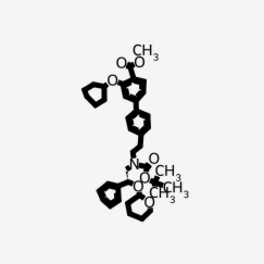 COC(=O)c1ccc(-c2ccc(CCN(C[C@H](OC3CCCCO3)c3ccccc3)C(=O)OC(C)(C)C)cc2)cc1OC1CCCCC1